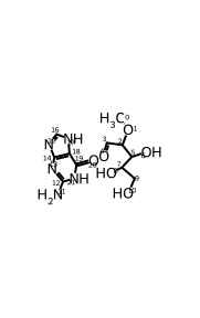 COC(C=O)C(O)C(O)CO.Nc1nc2nc[nH]c2c(=O)[nH]1